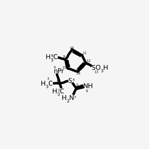 CCCC(C)(C)SC(=N)N.Cc1ccc(S(=O)(=O)O)cc1